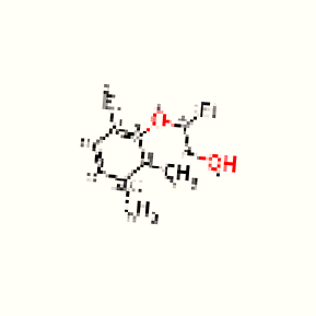 CCC1=C(OC(CC)CO)C(C)[C@@H](C)C=C1